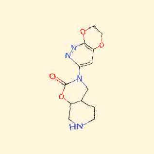 O=C1OC2CNCCC2CN1c1cc2c(nn1)OCCO2